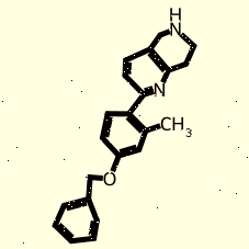 Cc1cc(OCc2ccccc2)ccc1-c1ccc2c(n1)CCNC2